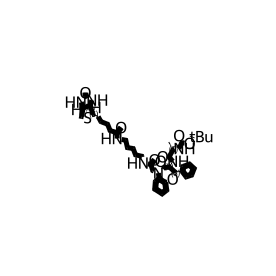 C[C@H](NC(=O)OC(C)(C)C)C(=O)N[C@H]1C(=O)N(CC(=O)NCCCCCNC(=O)CCCC[C@@H]2SC[C@@H]3NC(=O)N[C@@H]32)c2ccccc2O[C@H]1c1ccccc1